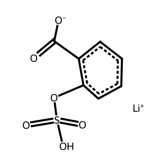 O=C([O-])c1ccccc1OS(=O)(=O)O.[Li+]